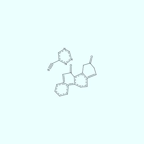 N#Cc1cncnn1.O=C1CC=c2ccc3c(c2C1)C(=O)C=c1ccccc1=3